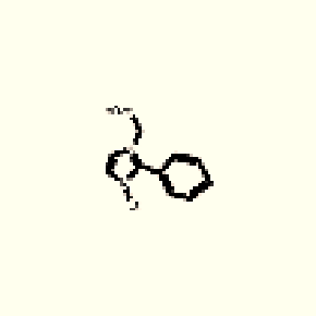 CCCCCCCCC[n+]1ccn(CC)c1-c1ccccc1